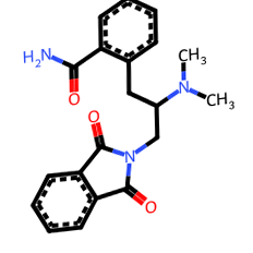 CN(C)C(Cc1ccccc1C(N)=O)CN1C(=O)c2ccccc2C1=O